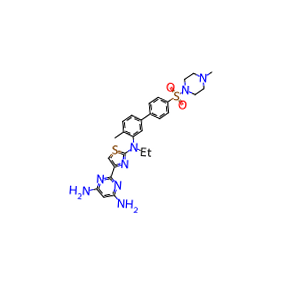 CCN(c1nc(-c2nc(N)cc(N)n2)cs1)c1cc(-c2ccc(S(=O)(=O)N3CCN(C)CC3)cc2)ccc1C